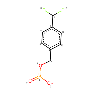 O=[PH](O)OCc1ccc(C(F)F)cc1